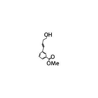 COC(=O)c1cccc(C#CCCO)c1